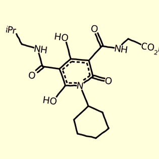 CC(C)CNC(=O)c1c(O)c(C(=O)NCC(=O)O)c(=O)n(C2CCCCC2)c1O